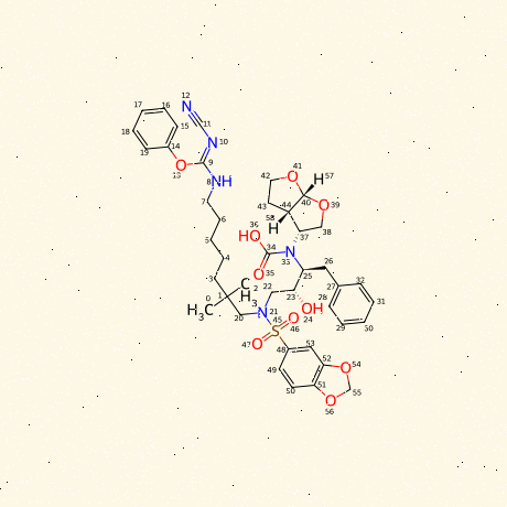 CC(C)(CCCCCNC(=NC#N)Oc1ccccc1)CN(C[C@@H](O)[C@H](Cc1ccccc1)N(C(=O)O)[C@H]1CO[C@H]2OCC[C@H]21)S(=O)(=O)c1ccc2c(c1)OCO2